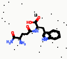 NC(=O)[C@H](N)CCC(=O)N[C@H](Cc1c[nH]c2ccccc12)C(=O)O.[Li]